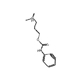 C[SiH](C)CCCOC(=O)Nc1c#cccc1